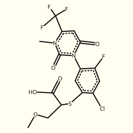 COCC(Sc1cc(-n2c(=O)cc(C(F)(F)F)n(C)c2=O)c(F)cc1Cl)C(=O)O